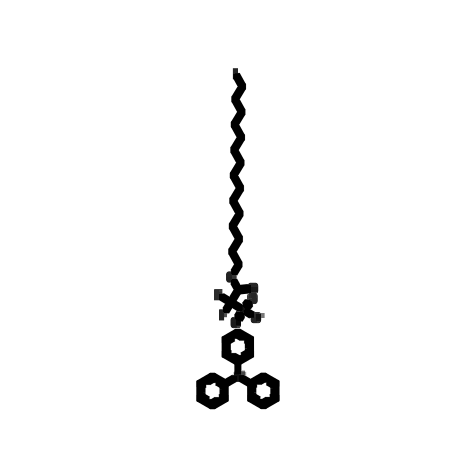 O=C(OCCCCCCCCCCCCCCCI)C(F)(F)S(=O)(=O)[O-].c1ccc([S+](c2ccccc2)c2ccccc2)cc1